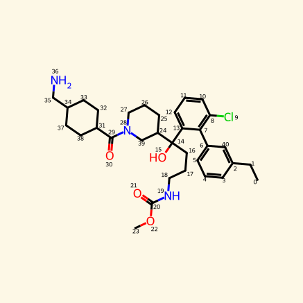 CCc1cccc(-c2c(Cl)cccc2C(O)(CCCNC(=O)OC)C2CCCN(C(=O)C3CCC(CN)CC3)C2)c1